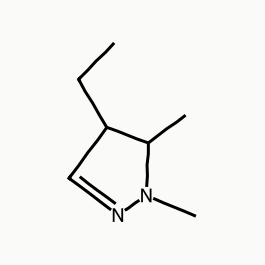 CCC1C=NN(C)C1C